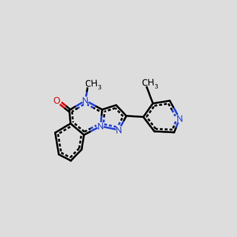 Cc1cnccc1-c1cc2n(C)c(=O)c3ccccc3n2n1